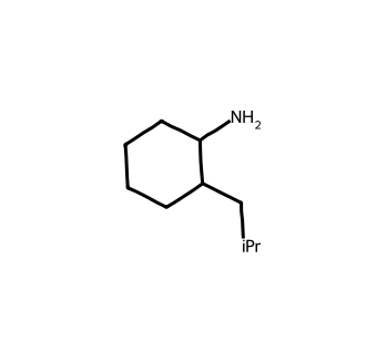 CC(C)CC1CCCCC1N